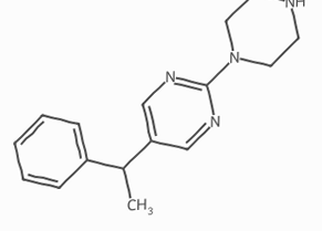 CC(c1ccccc1)c1cnc(N2CCNCC2)nc1